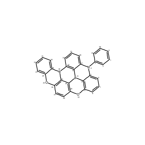 c1ccc(N2c3cccc4c3B3c5c(cccc52)B2c5ccccc5Oc5ccc(c3c52)O4)cc1